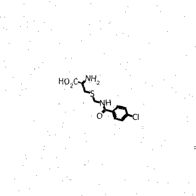 N[C@@H](CSCNC(=O)c1ccc(Cl)cc1)C(=O)O